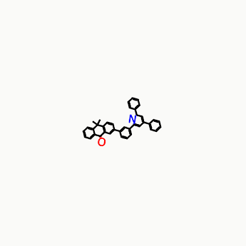 CC1(C)c2ccccc2C(=O)c2cc(-c3cccc(-c4cc(-c5ccccc5)cc(-c5ccccc5)n4)c3)ccc21